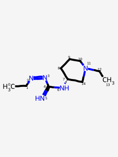 CC/N=N\C(=N)N[C@@H]1CCCN(CC)C1